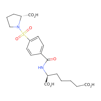 O=C(O)CCCC[C@H](NC(=O)c1ccc(S(=O)(=O)N2CCC[C@@H]2C(=O)O)cc1)C(=O)O